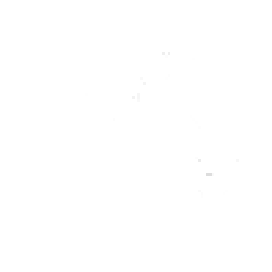 COc1cc(S(C)(=O)=O)ccc1NCC#Cc1cc(C(=O)N[C@H]2CCN(C3CCC(F)(F)CC3)C[C@@H]2C)c2ncn(CC(F)(F)F)c2c1